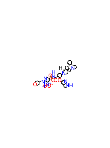 CCc1ccccc1[C@H]1CCCN1C1CC2(CCN(c3ccc(C(=O)NS(=O)(=O)c4cnc(NCC5CCOCC5)c([N+](=O)[O-])c4)c(Oc4cnc5[nH]ccc5c4)c3)CC2)C1